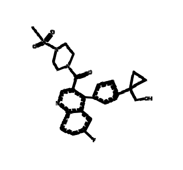 CS(=O)(=O)N1CCN(C(=O)c2cnc3ccc(F)cc3c2-c2ccc(C3(CO)CC3)cc2)CC1